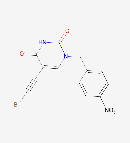 O=c1[nH]c(=O)n(Cc2ccc([N+](=O)[O-])cc2)cc1C#CBr